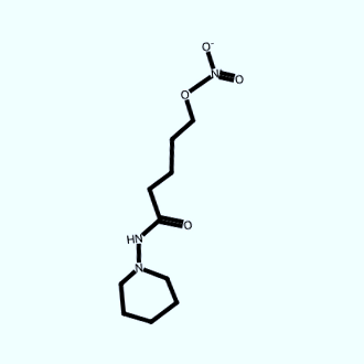 O=C(CCCCO[N+](=O)[O-])NN1CCCCC1